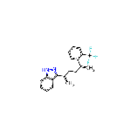 C=C(CCC(=C)c1n[nH]c2ccccc12)c1ccccc1C(F)(F)F